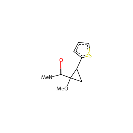 CNC(=O)C1(OC)CC1c1cccs1